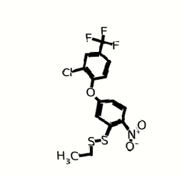 CCSSc1cc(Oc2ccc(C(F)(F)F)cc2Cl)ccc1[N+](=O)[O-]